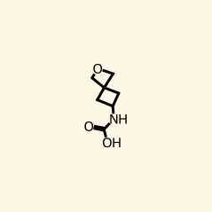 O=C(O)NC1CC2(COC2)C1